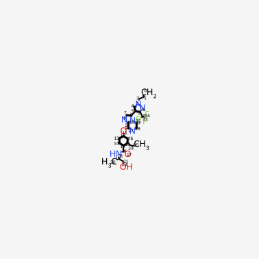 C=CCn1cc(-c2cnc3c(Oc4ccc(C(=O)N[C@H](C)CO)c(CC)c4)nccn23)c(C(F)(F)F)n1